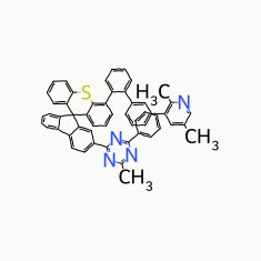 Cc1cnc(C)c(-c2cccc(-c3ccccc3-c3cccc4c3Sc3ccccc3C43c4ccccc4-c4ccc(-c5nc(C)nc(-c6ccccc6)n5)cc43)c2)c1